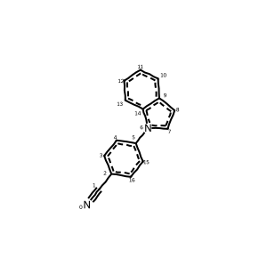 N#Cc1ccc(-n2ccc3ccccc32)cc1